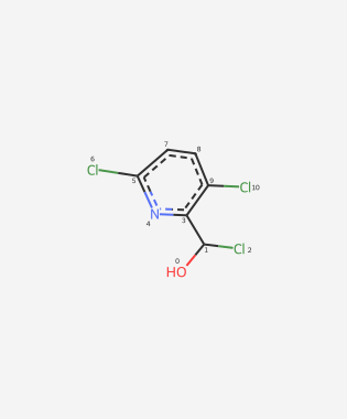 OC(Cl)c1nc(Cl)ccc1Cl